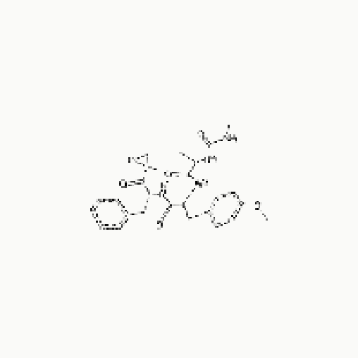 CNC(=O)NC(C)C(=O)NC(Cc1ccc(OC)cc1)C(=O)NC(Cc1ccccc1)C(=O)C1(C)CO1